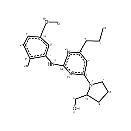 CCCc1cc(N2CCCC2CO)nc(Nc2cc(OC)ccc2C)n1